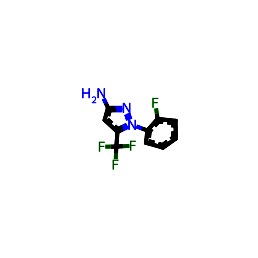 Nc1cc(C(F)(F)F)n(-c2ccccc2F)n1